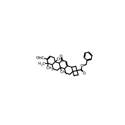 CC1(C)C(C=O)=CCC2(C)C1CCC1(C)C3CCC45CCC4(C(=O)OCc4ccccc4)CC5C3=CC(=O)C12